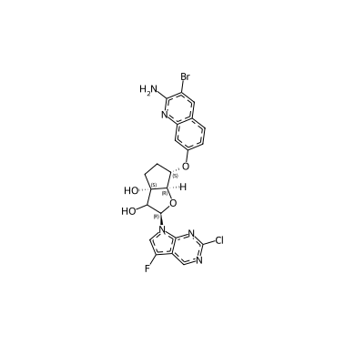 Nc1nc2cc(O[C@H]3CC[C@]4(O)C(O)[C@H](n5cc(F)c6cnc(Cl)nc65)O[C@H]34)ccc2cc1Br